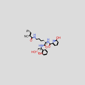 CC(C)C=C(C#N)C(=O)NCCCC[C@H](NC(=O)c1cccc(O)n1)C(=O)N[C@H](CB(O)O)c1ccccc1